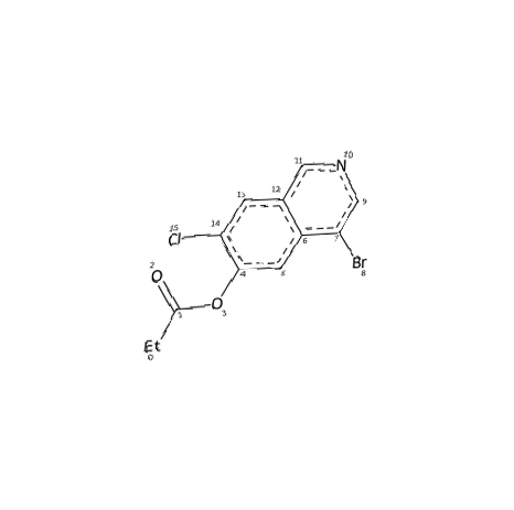 CCC(=O)Oc1cc2c(Br)cncc2cc1Cl